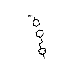 CCCC[C@H]1CC[C@H](C2CC=C(CCc3ccc(F)cc3)CC2)CC1